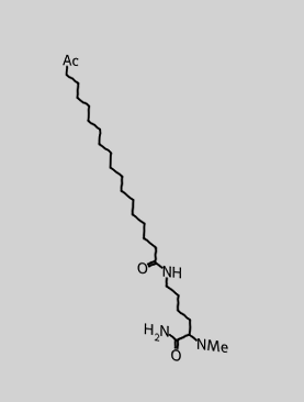 CNC(CCCCNC(=O)CCCCCCCCCCCCCCCCC(C)=O)C(N)=O